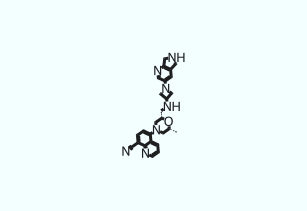 C[C@@H]1CN(c2ccc(C#N)c3ncccc23)C[C@H](CNC2CN(c3cnc4c(c3)CNC4)C2)O1